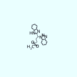 CS(=O)(=O)CCC(c1nc2ccccc2[nH]1)n1nnc2ccccc21